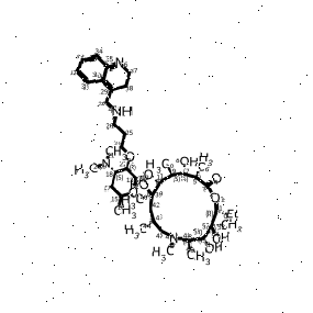 CC[C@H]1OC(=O)[C@H](C)[C@@H](O)[C@H](C)[C@@H](O[C@@H]2OC(C)C[C@H](N(C)C)[C@H]2OCCCNCC2=c3ccccc3=NCC2)[C@](C)(O)C[C@@H](C)CN(C)[C@H](C)[C@@H](O)[C@]1(C)O